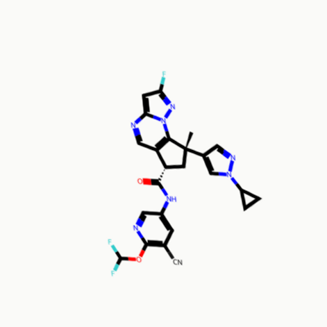 C[C@@]1(c2cnn(C3CC3)c2)C[C@H](C(=O)Nc2cnc(OC(F)F)c(C#N)c2)c2cnc3cc(F)nn3c21